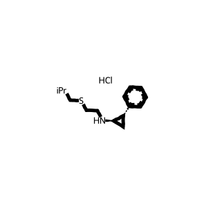 CC(C)CSCCN[C@@H]1C[C@H]1c1ccccc1.Cl